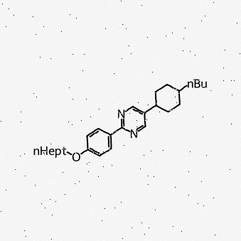 CCCCCCCOc1ccc(-c2ncc(C3CCC(CCCC)CC3)cn2)cc1